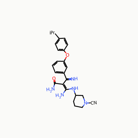 CC(C)c1ccc(Oc2cccc(C(=N)/C(C(N)=O)=C(/N)NC3CCCN(C#N)C3)c2)cc1